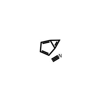 C#N.c1cc2cc-2c1